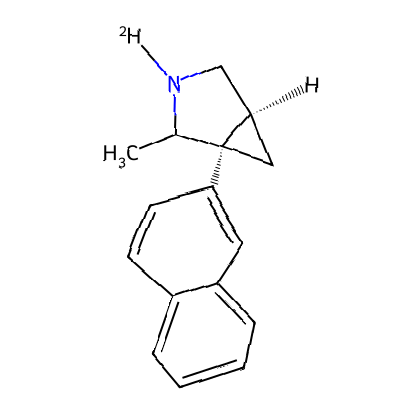 [2H]N1C[C@H]2C[C@@]2(c2ccc3ccccc3c2)C1C